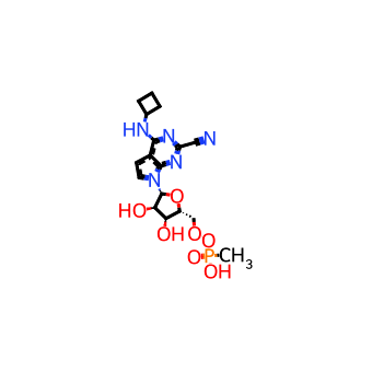 CP(=O)(O)OOC[C@H]1O[C@@H](n2ccc3c(NC4CCC4)nc(C#N)nc32)[C@H](O)[C@@H]1O